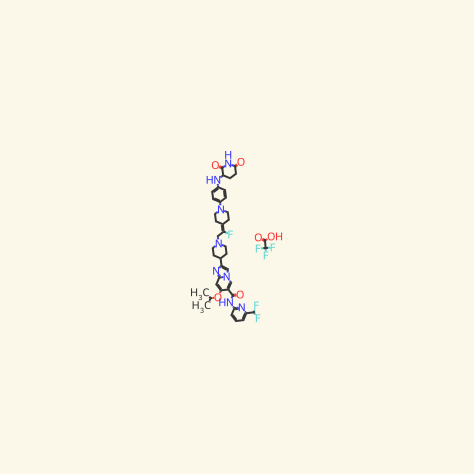 CC(C)Oc1cc2nc(C3CCN(CC(F)=C4CCN(c5ccc(NC6CCC(=O)NC6=O)cc5)CC4)CC3)cn2cc1C(=O)Nc1cccc(C(F)F)n1.O=C(O)C(F)(F)F